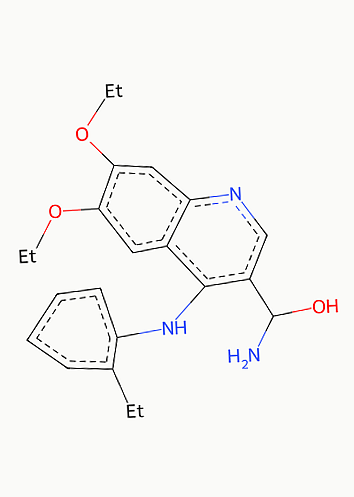 CCOc1cc2ncc(C(N)O)c(Nc3ccccc3CC)c2cc1OCC